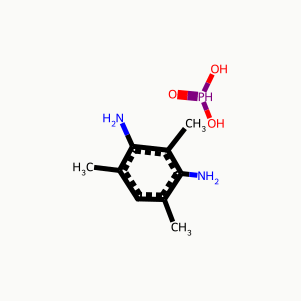 Cc1cc(C)c(N)c(C)c1N.O=[PH](O)O